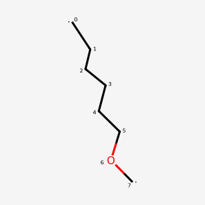 [CH2]CCCCCO[CH2]